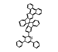 C=C1C(c2ccc3c(c2)-c2ccccc2C32c3ccccc3-c3cc4c5ccccc5c5ccccc5c4cc32)=NC(c2ccccc2)=CC1c1ccccc1